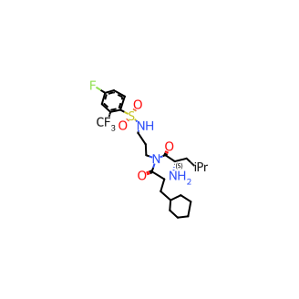 CC(C)C[C@H](N)C(=O)N(CCCNS(=O)(=O)c1ccc(F)cc1C(F)(F)F)C(=O)CCC1CCCCC1